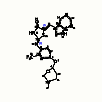 CN1CCC(Oc2ccc(/N=C3/NC(=O)/C(=C/c4c[nH]c5ncccc45)S3)c(C(F)(F)F)c2)CC1